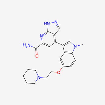 Cn1cc(-c2cc(C(N)=O)nc3[nH]ncc23)c2cc(OCCN3CCCCC3)ccc21